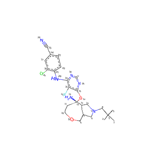 CC(C)(C)CN1CC2COCC[C@](N)(Oc3ncnc(Nc4ccc(C#N)cc4Cl)c3F)C2C1